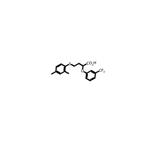 Cc1ccc(SCCC(Oc2cccc(C(F)(F)F)c2)C(=O)O)c(C)c1